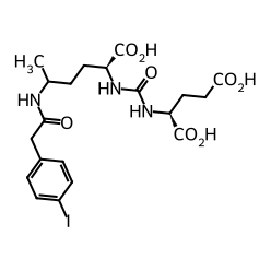 CC(CC[C@H](NC(=O)N[C@@H](CCC(=O)O)C(=O)O)C(=O)O)NC(=O)Cc1ccc(I)cc1